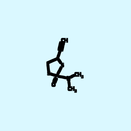 C#CC1CSP(=O)(N(C)C)S1